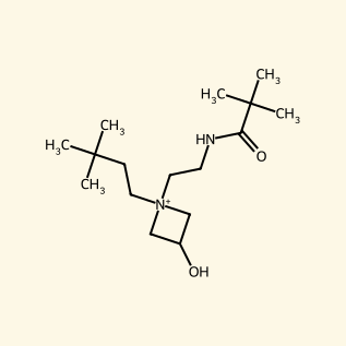 CC(C)(C)CC[N+]1(CCNC(=O)C(C)(C)C)CC(O)C1